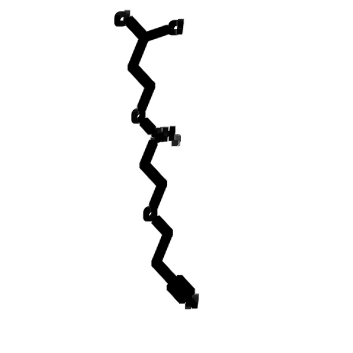 N#CCCOCC[SiH2]OCCC(Cl)Cl